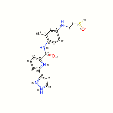 CCc1cc(NCC[S+](C)[O-])ccc1NC(=O)c1cccc(-c2cc[nH]n2)n1